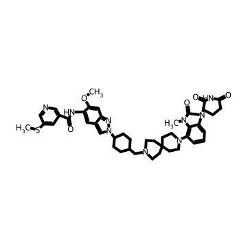 COc1cc2nn(C3CCC(CN4CCC5(CC4)CCN(c4cccc6c4n(C)c(=O)n6C4CCC(=O)NC4=O)CC5)CC3)cc2cc1NC(=O)c1cncc(SC)c1